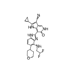 N#Cc1c(C2CC2)[nH]c2c(-c3nc4c(NCC(F)F)c(C5CCOCC5)ccc4[nH]3)c(=O)[nH]cc12